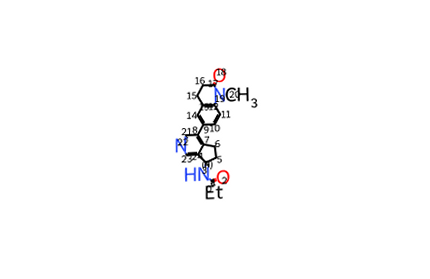 CCC(=O)N[C@@H]1CCc2c(-c3ccc4c(c3)CCC(=O)N4C)cncc21